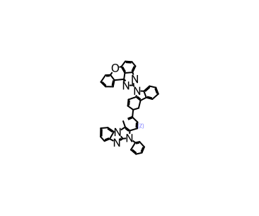 C=C(/C=C\c1c(C)n2c3ccccc3nc2n1-c1ccccc1)C1C=Cc2c(c3ccccc3n2-c2nc3c4c(cccc4n2)Oc2ccccc2-3)C1